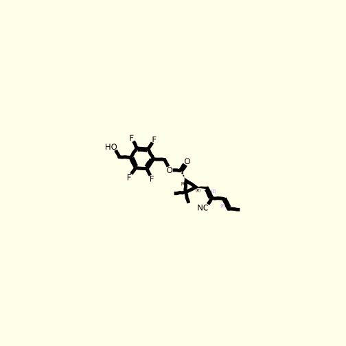 C/C=C/C(C#N)=C/[C@@H]1[C@@H](C(=O)OCc2c(F)c(F)c(CO)c(F)c2F)C1(C)C